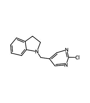 Clc1ncc(CN2CCc3ccccc32)cn1